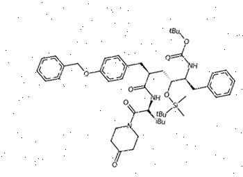 CC[C@H](C)[C@H](NC(=O)[C@@H](Cc1ccc(OCc2ccccc2)cc1)C[C@@H](O[Si](C)(C)C(C)(C)C)[C@H](Cc1ccccc1)NC(=O)OC(C)(C)C)C(=O)N1CCC(=O)CC1